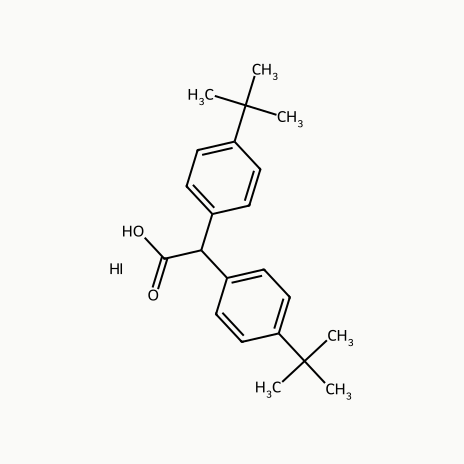 CC(C)(C)c1ccc(C(C(=O)O)c2ccc(C(C)(C)C)cc2)cc1.I